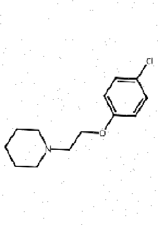 Clc1ccc(OCCN2CCCCC2)cc1